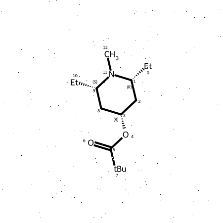 CC[C@@H]1C[C@H](OC(=O)C(C)(C)C)C[C@H](CC)N1C